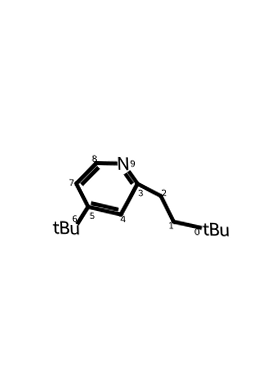 CC(C)(C)CCc1cc(C(C)(C)C)ccn1